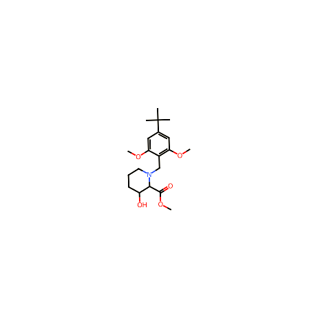 COC(=O)C1C(O)CCCN1Cc1c(OC)cc(C(C)(C)C)cc1OC